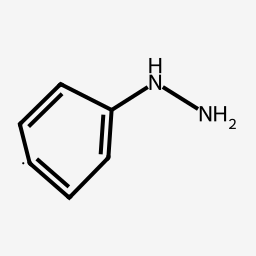 NNc1cc[c]cc1